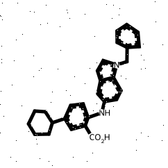 O=C(O)c1cc(C2CCCCC2)ccc1Nc1ccc2c(ccn2Cc2ccccc2)c1